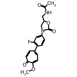 COc1ccc(-c2ccc(N3CC(CNC(C)=O)OC3=O)cc2F)ccc1=O